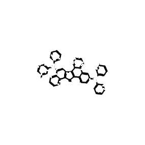 CC1(C)c2c(cc(N(c3ccccc3)c3cccc(F)c3)c3ccccc23)-c2c1c1ccc(N(c3ccccc3)c3cccc(F)c3)cc1c1ccccc21